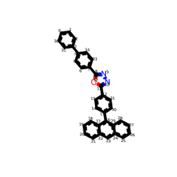 c1ccc(-c2ccc(-c3nnc(-c4ccc(-c5c6ccccc6cc6ccccc56)cc4)o3)cc2)cc1